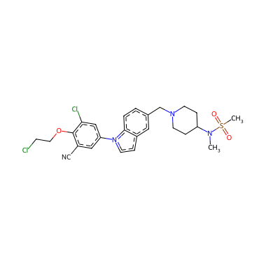 CN(C1CCN(Cc2ccc3c(ccn3-c3cc(Cl)c(OCCCl)c(C#N)c3)c2)CC1)S(C)(=O)=O